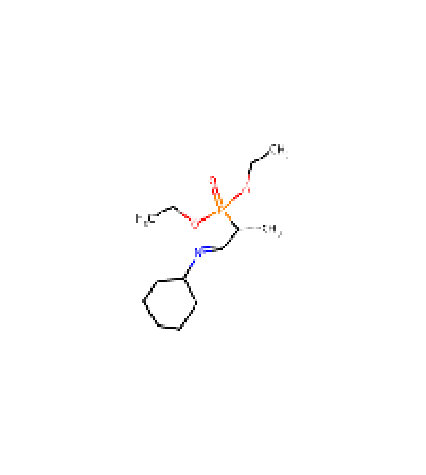 CCOP(=O)(OCC)C(C)C=NC1CCCCC1